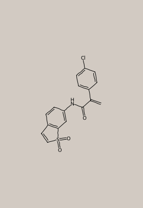 C=C(C(=O)Nc1ccc2c(c1)S(=O)(=O)C=C2)c1ccc(Cl)cc1